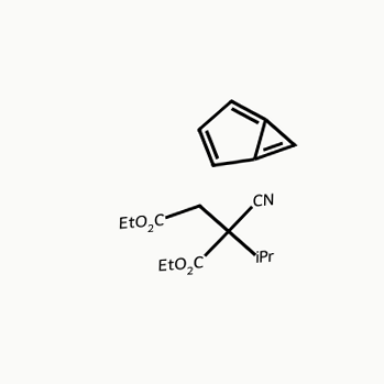 CCOC(=O)CC(C#N)(C(=O)OCC)C(C)C.c1cc2cc-2c1